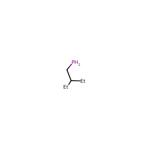 CCC(CC)CP